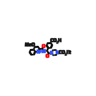 CCOC(=O)N1CCN(C(=O)C(NC(=O)c2cc(OC)c3ccccc3n2)c2ccc(C(=O)O)cc2)CC1